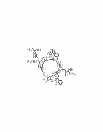 CC(=O)N[C@@H](CCCNC(=N)N)C(=O)N[C@H]1CC(=O)NCCCCC(C(N)=O)NC(=O)[C@H](Cc2c[nH]c3ccccc23)NC(=O)[C@H](CCCNC(=N)N)NC(=O)[C@@H](Cc2ccccc2)NC(=O)[C@H](CCS(C)(=O)=O)NC1=O